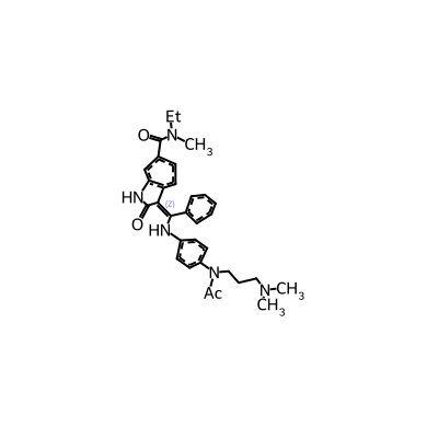 CCN(C)C(=O)c1ccc2c(c1)NC(=O)/C2=C(\Nc1ccc(N(CCCN(C)C)C(C)=O)cc1)c1ccccc1